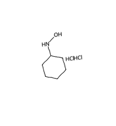 Cl.Cl.ONC1CCCCC1